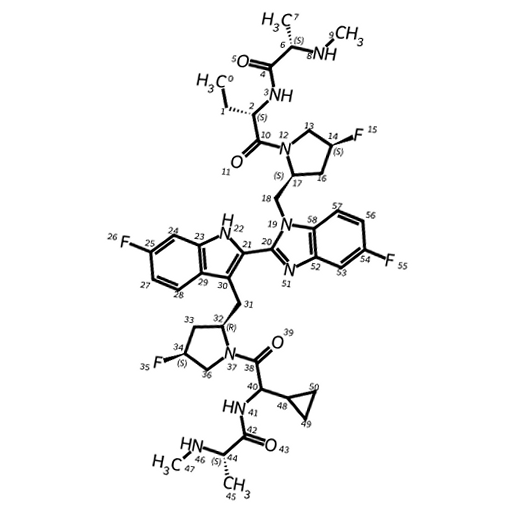 CC[C@H](NC(=O)[C@H](C)NC)C(=O)N1C[C@@H](F)C[C@H]1Cn1c(-c2[nH]c3cc(F)ccc3c2C[C@@H]2C[C@H](F)CN2C(=O)C(NC(=O)[C@H](C)NC)C2CC2)nc2cc(F)ccc21